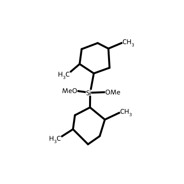 CO[Si](OC)(C1CC(C)CCC1C)C1CC(C)CCC1C